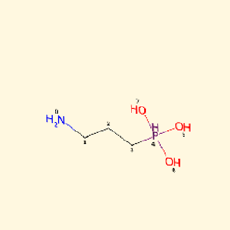 NCCC[PH](O)(O)O